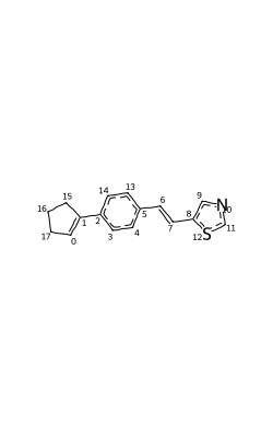 C1=C(c2ccc(/C=C/c3cncs3)cc2)CCC1